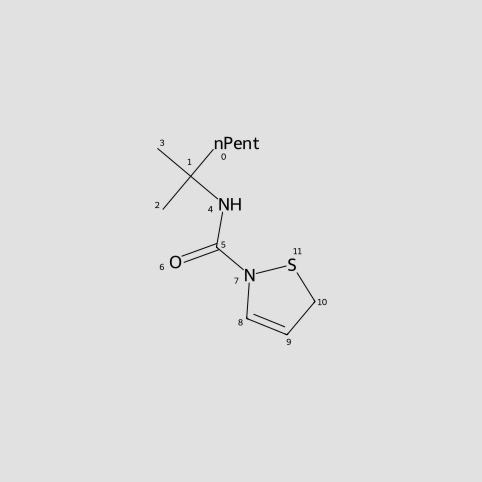 CCCCCC(C)(C)NC(=O)N1C=CCS1